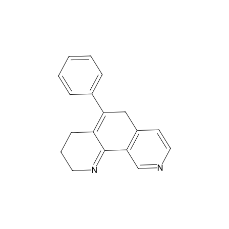 c1ccc(C2=C3CCCN=C3c3cnccc3C2)cc1